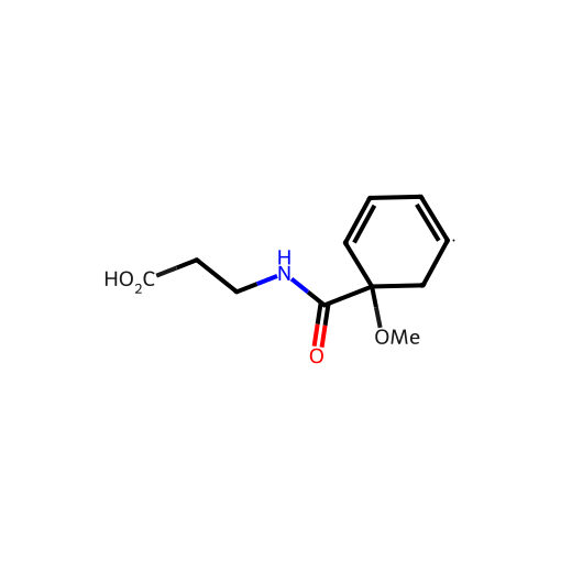 COC1(C(=O)NCCC(=O)O)C=CC=[C]C1